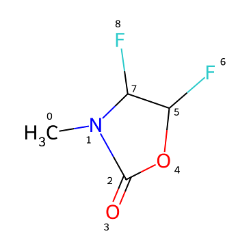 CN1C(=O)OC(F)C1F